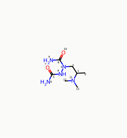 CC(CN(NC(N)=O)C(N)=O)N(C)C